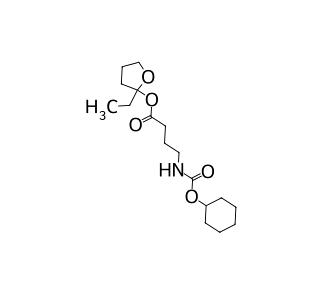 CCC1(OC(=O)CCCNC(=O)OC2CCCCC2)CCCO1